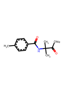 COC(=O)C(C)(C)NC(=O)c1ccc(C)cc1